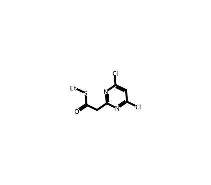 CCSC(=O)Cc1nc(Cl)cc(Cl)n1